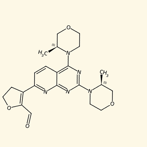 C[C@H]1COCCN1c1nc(N2CCOC[C@@H]2C)c2ccc(C3=C(C=O)OCC3)nc2n1